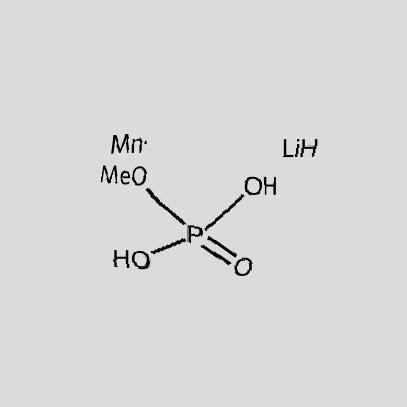 COP(=O)(O)O.[LiH].[Mn]